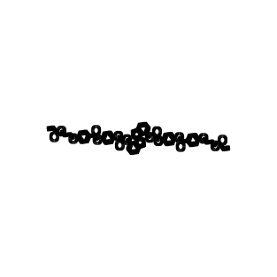 C=CC(=O)OCCOc1ccc(C(=O)Oc2ccc(OC(=O)Oc3cccc4c3C3(CC4)CCc4cccc(OC(=O)Oc5ccc(OC(=O)c6ccc(OCCOC(=O)C=C)cc6)cc5)c43)cc2)cc1